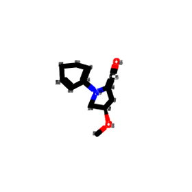 CO[C@@H]1CC(=C=O)N(C2=CCCC=C2)C1